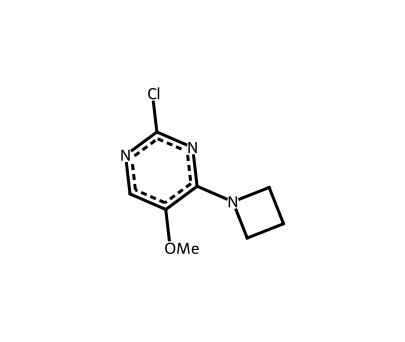 COc1cnc(Cl)nc1N1CCC1